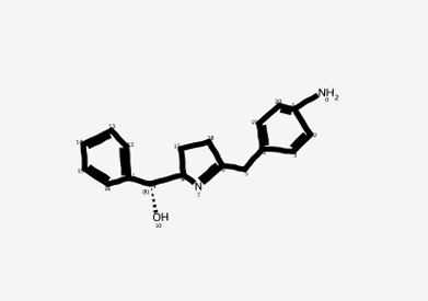 Nc1ccc(CC2=NC([C@H](O)c3ccccc3)CC2)cc1